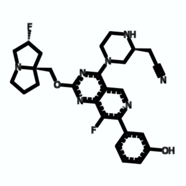 N#CC[C@H]1CN(c2nc(OC[C@@]34CCCN3C[C@H](F)C4)nc3c(F)c(-c4cccc(O)c4)ncc23)CCN1